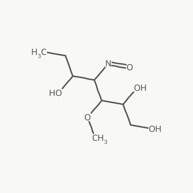 CCC(O)C(N=O)C(OC)C(O)CO